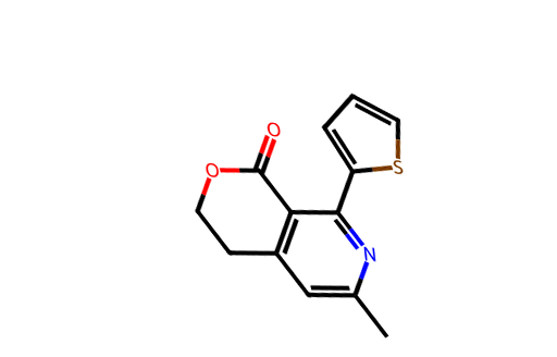 Cc1cc2c(c(-c3cccs3)n1)C(=O)OCC2